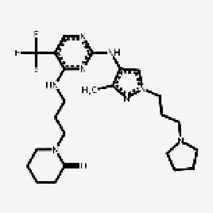 Cc1nn(CCCN2CCCC2)cc1Nc1ncc(C(F)(F)F)c(NCCCN2CCCCC2=O)n1